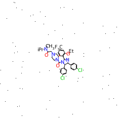 CCOc1cc(C(F)(F)F)ccc1C1=NC(c2ccc(Cl)cc2)C(c2ccc(Cl)cc2)N1C(=O)N1CCN(CC(=O)N(C)C(C)C)CC1